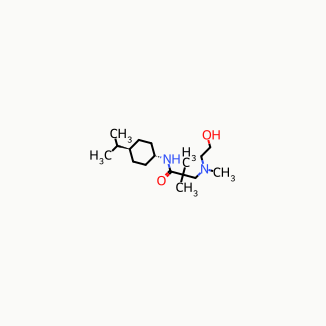 CC(C)[C@H]1CC[C@H](NC(=O)C(C)(C)CN(C)CCO)CC1